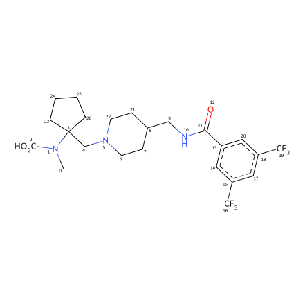 CN(C(=O)O)C1(CN2CCC(CNC(=O)c3cc(C(F)(F)F)cc(C(F)(F)F)c3)CC2)CCCC1